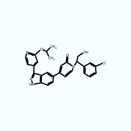 CC(C)Oc1cc(-c2n[nH]c3ccc(-c4ccn(C(CO)c5cccc(Cl)c5)c(=O)c4)cc23)ccn1